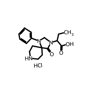 CCC(C(=O)O)N1CN(c2ccccc2)C2(CCNCC2)C1=O.Cl